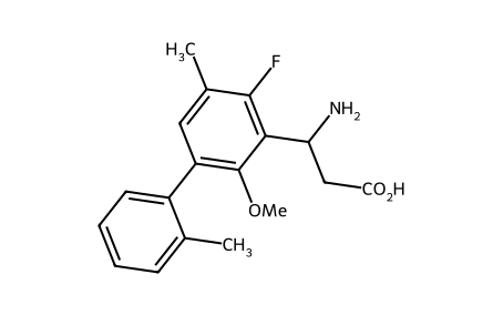 COc1c(-c2ccccc2C)cc(C)c(F)c1C(N)CC(=O)O